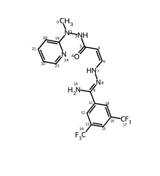 CN(NC(=O)/C=C\N/N=C(\N)c1cc(C(F)(F)F)cc(C(F)(F)F)c1)c1ccccn1